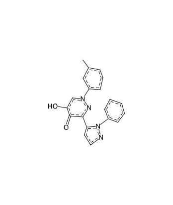 Cc1cccc(-n2cc(O)c(=O)c(-c3ccnn3-c3ccccc3)n2)c1